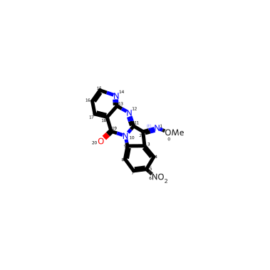 CO/N=C1\c2cc([N+](=O)[O-])ccc2-n2c1nc1ncccc1c2=O